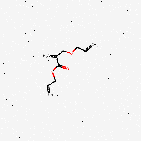 C=CCOCC(=C)C(=O)OCC=C